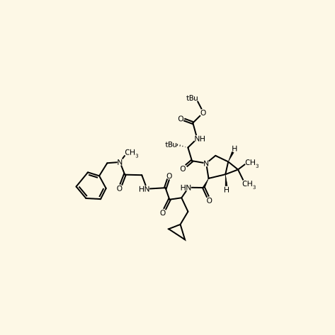 CN(Cc1ccccc1)C(=O)CNC(=O)C(=O)C(CC1CC1)NC(=O)[C@@H]1[C@@H]2[C@H](CN1C(=O)[C@@H](NC(=O)OC(C)(C)C)C(C)(C)C)C2(C)C